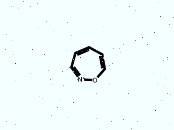 [C]1=[N+]OC=CC=C1